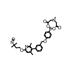 Cc1cc(OCCC(C)(C)N=O)nc(C)c1-c1cccc(COc2ccc(B3OC(=O)CN(C)CC(=O)O3)cc2)c1